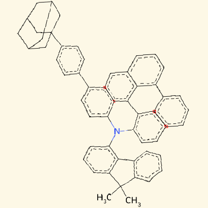 CC1(C)c2ccccc2-c2c(N(c3ccc(-c4ccc(C56CC7CC(CC(C7)C5)C6)cc4)cc3)c3ccccc3-c3cccc4cccc(-c5ccccc5)c34)cccc21